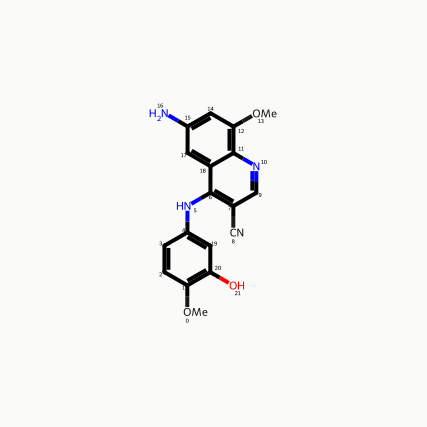 COc1ccc(Nc2c(C#N)cnc3c(OC)cc(N)cc23)cc1O